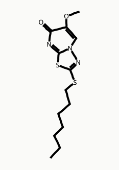 CCCCCCCSc1nn2cc(OC)c(=O)nc2s1